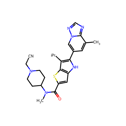 Cc1cc(-c2[nH]c3cc(C(=O)N(C)C4CCN(CC#N)CC4)sc3c2C(C)C)cn2ncnc12